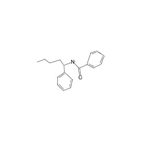 CCCCC([N]C(=O)c1ccccc1)c1ccccc1